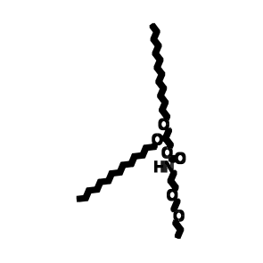 CCCCCCCCCCCCCCOCC(COC(=O)NCCCOCCOCCC)OCCCCCCCCCCCCCC